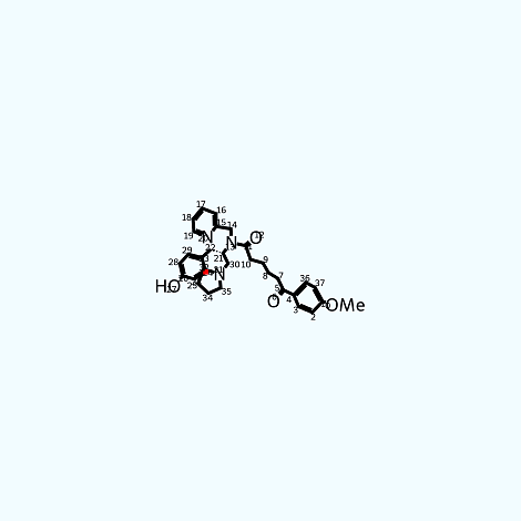 COc1ccc(C(=O)CCCCC(=O)N(Cc2ccccn2)[C@@H](Cc2ccc(O)cc2)CN2CCCC2)cc1